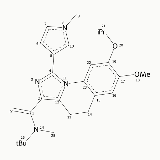 C=C(c1nc(-c2ccn(C)c2)n2c1CCc1cc(OC)c(OC(C)C)cc1-2)N(C)C(C)(C)C